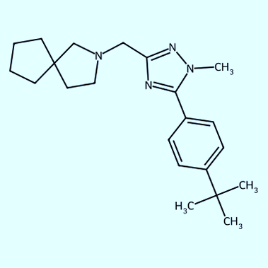 Cn1nc(CN2CCC3(CCCC3)C2)nc1-c1ccc(C(C)(C)C)cc1